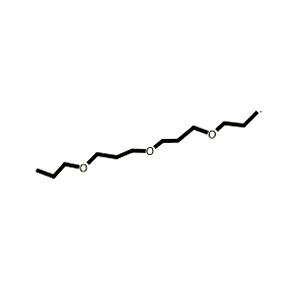 [CH2]CCOCCCOCCCOCCC